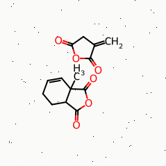 C=C1CC(=O)OC1=O.CC12C=CCCC1C(=O)OC2=O